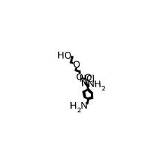 Cl.NCc1ccc(C(N)=NC(=O)OCCOCCO)cc1